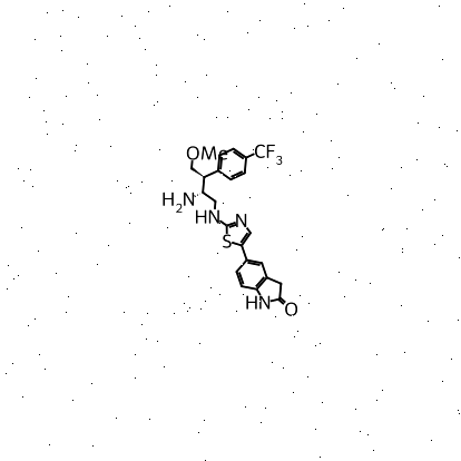 COC[C@@H](c1ccc(C(F)(F)F)cc1)[C@@H](N)CNc1ncc(-c2ccc3c(c2)CC(=O)N3)s1